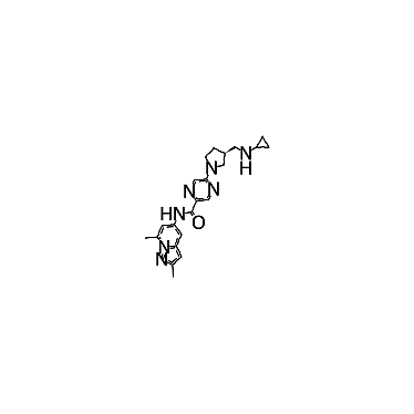 Cc1cc2cc(NC(=O)c3cnc(N4CC[C@@H](CNC5CC5)C4)cn3)cc(C)n2n1